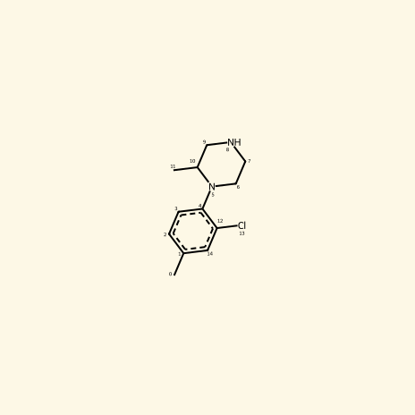 Cc1ccc(N2CCNCC2C)c(Cl)c1